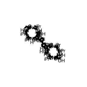 CC(C)C[C@@H]1NC(=O)[C@H]2CCCNN2C(=O)[C@H](C(C)C)OC(=O)[C@@H](C(C)C)NC(=O)[C@@H]2C[C@@]3(O)c4cc(-c5ccc6c(c5)[C@@]5(O)C[C@@H]7C(=O)N[C@@H](C(C)C)C(=O)O[C@H](C(C)C)C(=O)N8NC[C@@H](O)C[C@H]8C(=O)N[C@H](CC(C)C)C(=O)N[C@@H]([C@@H](C)O)C(=O)N7[C@H]5N6)ccc4N[C@H]3C2C(=O)[C@@H]([C@H](C)O)NC1=O